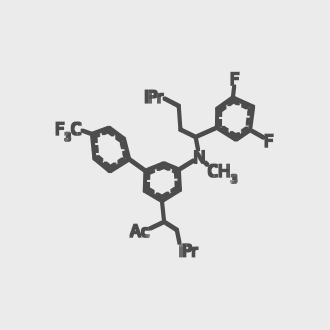 CC(=O)C(CC(C)C)c1cc(-c2ccc(C(F)(F)F)cc2)cc(N(C)C(CCC(C)C)c2cc(F)cc(F)c2)c1